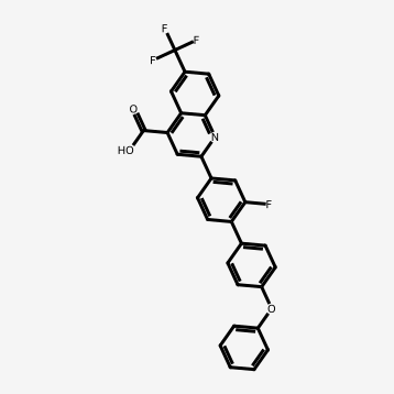 O=C(O)c1cc(-c2ccc(-c3ccc(Oc4ccccc4)cc3)c(F)c2)nc2ccc(C(F)(F)F)cc12